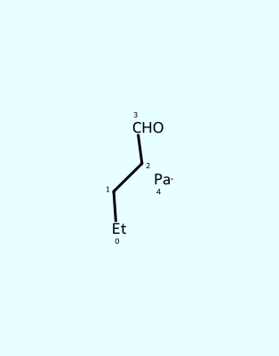 CCCCC=O.[Pa]